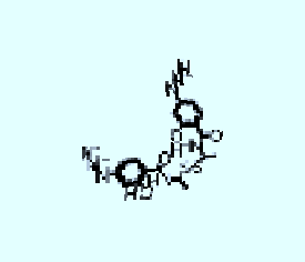 CC(NC(=O)c1ccc(N=[N+]=[N-])cc1O)SSC(C)NC(=O)c1ccc(N=[N+]=[N-])cc1O